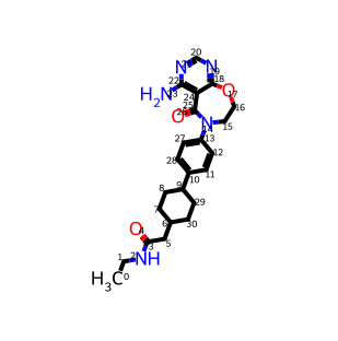 CCNC(=O)CC1CCC(c2ccc(N3CCOc4ncnc(N)c4C3=O)cc2)CC1